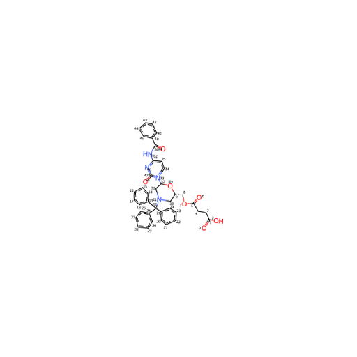 O=C(O)CCC(=O)OC[C@@H]1CN(C(c2ccccc2)(c2ccccc2)c2ccccc2)CC(n2ccc(NC(=O)c3ccccc3)nc2=O)O1